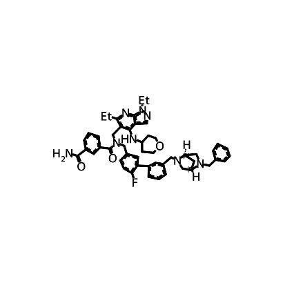 CCc1nc2c(cnn2CC)c(NC2CCOCC2)c1CN(Cc1ccc(F)c(-c2cccc(CN3C[C@@H]4C[C@@H]3CN4Cc3ccccc3)c2)c1)C(=O)c1cccc(C(N)=O)c1